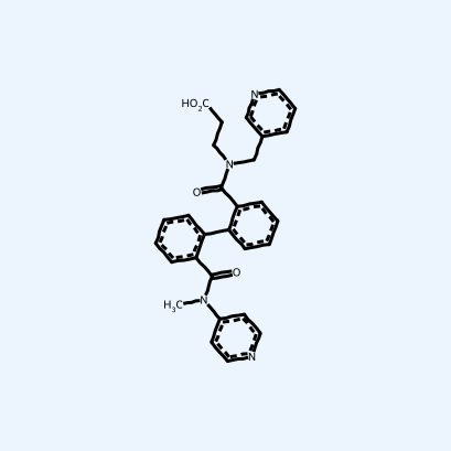 CN(C(=O)c1ccccc1-c1ccccc1C(=O)N(CCC(=O)O)Cc1cccnc1)c1ccncc1